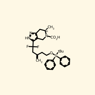 C=C(CCO[Si](c1ccccc1)(c1ccccc1)C(C)(C)C)CC(F)(F)c1[nH]nc2c1CN(C(=O)O)[C@H](C)C2